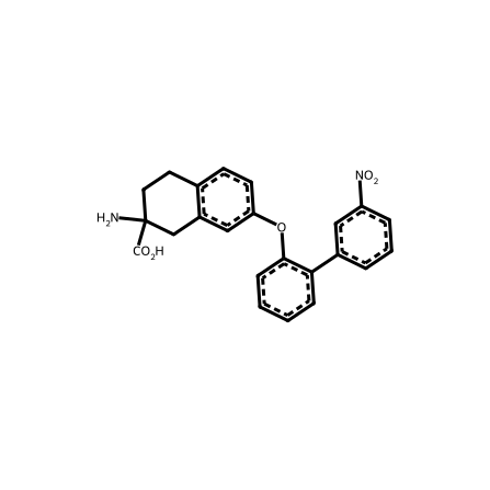 NC1(C(=O)O)CCc2ccc(Oc3ccccc3-c3cccc([N+](=O)[O-])c3)cc2C1